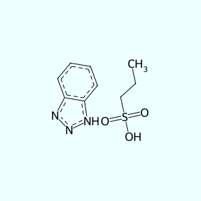 CCCS(=O)(=O)O.c1ccc2[nH]nnc2c1